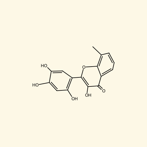 Cc1cccc2c(=O)c(O)c(-c3cc(O)c(O)cc3O)oc12